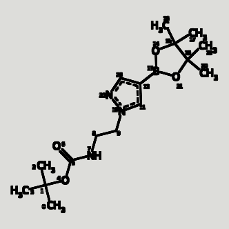 CC(C)(C)OC(=O)NCCn1cc(B2OC(C)(C)C(C)(C)O2)cn1